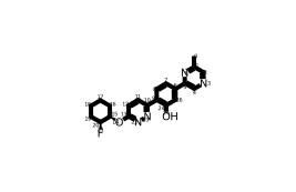 Cc1cncc(-c2ccc(-c3ccc(O[C@@H]4CCCC[C@@H]4F)nn3)c(O)c2)n1